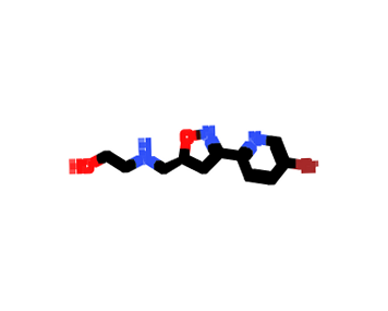 OCCNC[C@@H]1CC(c2ccc(Br)cn2)=NO1